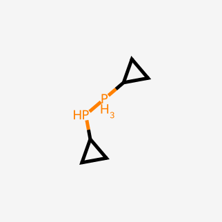 C1CC1P[PH3]C1CC1